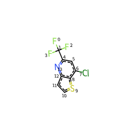 FC(F)(F)c1cc(Cl)c2sccc2n1